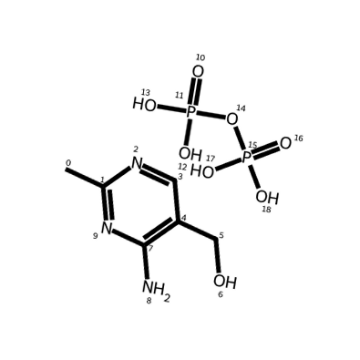 Cc1ncc(CO)c(N)n1.O=P(O)(O)OP(=O)(O)O